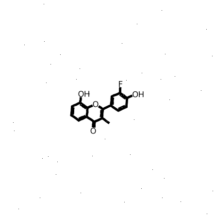 Cc1c(-c2ccc(O)c(F)c2)oc2c(O)cccc2c1=O